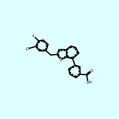 O=C(O)c1cccc(-c2cccc3cc(Cc4ccc(F)c(Cl)c4)sc23)c1